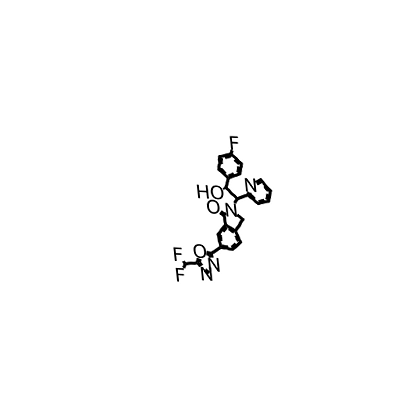 O=C1c2cc(-c3nnc(C(F)F)o3)ccc2CN1C(c1ccccn1)[C@H](O)c1ccc(F)cc1